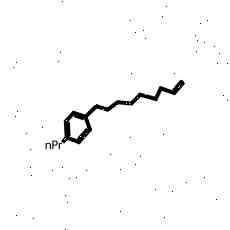 C=CCCCCCCCc1ccc(CCC)cc1